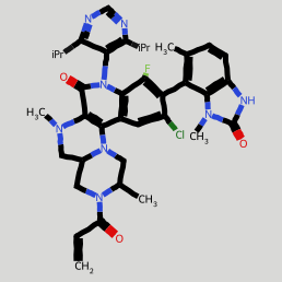 C=CC(=O)N1CC2CN(C)c3c(c4cc(Cl)c(-c5c(C)ccc6[nH]c(=O)n(C)c56)c(F)c4n(-c4c(C(C)C)ncnc4C(C)C)c3=O)N2CC1C